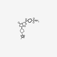 Cc1noc(C2CCC(=C3SC(=O)N(CC(=O)Nc4ccc(S(N)(=O)=O)cc4)C3=O)CC2)n1